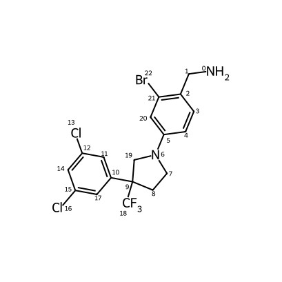 NCc1ccc(N2CCC(c3cc(Cl)cc(Cl)c3)(C(F)(F)F)C2)cc1Br